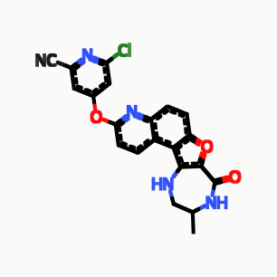 CC1CNc2c(oc3ccc4nc(Oc5cc(Cl)nc(C#N)c5)ccc4c23)C(=O)N1